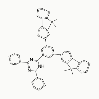 CC1(C)c2ccccc2-c2ccc(-c3cc(C4=NC(c5ccccc5)=NC(c5ccccc5)N4)cc(-c4ccc5c(c4)C(C)(C)c4ccccc4-5)c3)cc21